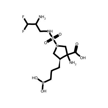 NC(CNS(=O)(=O)N1C[C@H](CCCB(O)O)C(N)(C(=O)O)C1)C(F)F